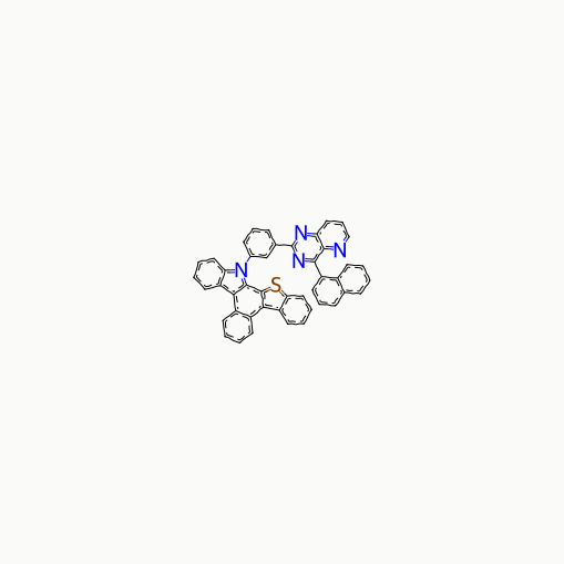 c1cc(-c2nc(-c3cccc4ccccc34)c3ncccc3n2)cc(-n2c3ccccc3c3c4ccccc4c4c5ccccc5sc4c32)c1